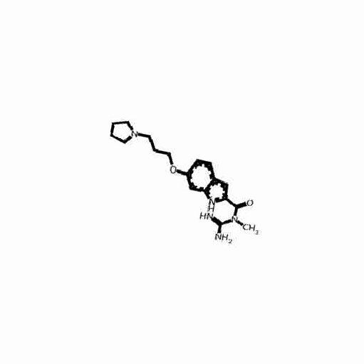 CN(C(=N)N)C(=O)c1cc2ccc(OCCCN3CCCC3)cc2[nH]1